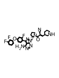 N#CC(=CC1CCCNC1)C(=O)N1CCC[C@H]1Cn1nc(-c2ccc(Oc3cccc(F)c3F)cc2F)c2c(N)ncnc21